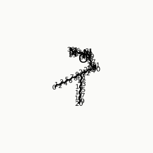 CCCCCCCCCCC(CCCCCCCCCC)CCCCC1(CCCCN(C)C(=O)CCCN(C)C)CC1